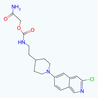 NC(=O)COC(=O)NCCC1CCN(c2ccc3cnc(Cl)cc3c2)CC1